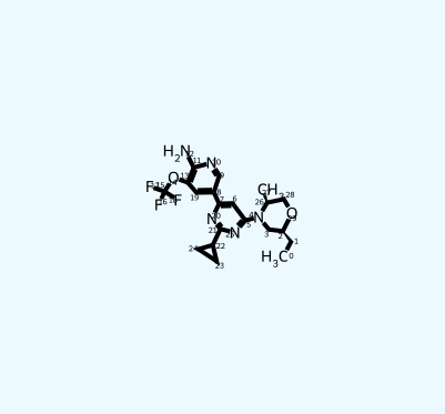 CC[C@H]1CN(c2cc(-c3cnc(N)c(OC(F)(F)F)c3)nc(C3CC3)n2)[C@@H](C)CO1